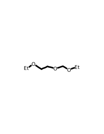 [CH2]COCOCCOCC